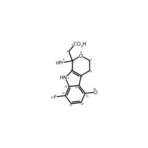 CCCC1(CC(=O)O)OCCc2c1[nH]c1c(F)ccc(Cl)c21